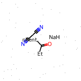 CCCCCC(=O)CC.N#CC#N.[NaH]